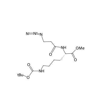 COC(=O)[C@H](CCCCNC(=O)OC(C)(C)C)NC(=O)CCN=[N+]=[N-]